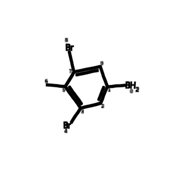 Bc1cc(Br)c(C)c(Br)c1